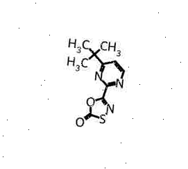 CC(C)(C)c1ccnc(-c2nsc(=O)o2)n1